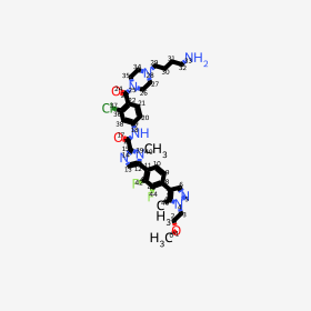 COCCn1ncc(-c2ccc(-c3cnc(C(=O)Nc4ccc(C(=O)N5CCN(CCCCN)CC5)c(Cl)c4)n3C)c(F)c2F)c1C